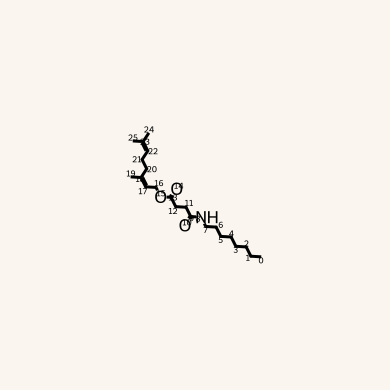 CCCCCCCCNC(=O)CCC(=O)OCC=C(C)CCC=C(C)C